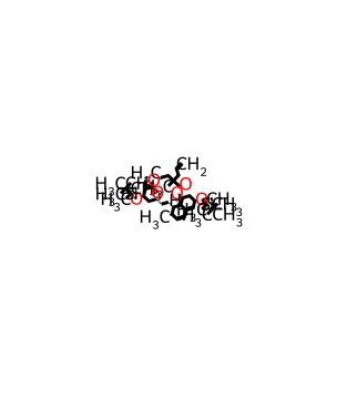 C=CCC(C)(CC=C)C(=O)O[C@@H]1C[C@H](O[Si](C)(C)C(C)(C)C)C=C2C=C[C@H](C)[C@H](CC[C@@H]3C[C@@H](O[Si](C)(C)C(C)(C)C)CC(=O)O3)[C@H]21